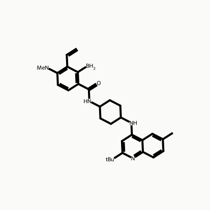 Bc1c(C(=O)NC2CCC(Nc3cc(C(C)(C)C)nc4ccc(C)cc34)CC2)ccc(NC)c1C=C